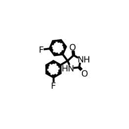 O=C1NC(=O)C(c2cccc(F)c2)(c2cccc(F)c2)N1